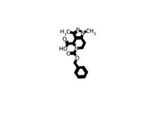 Cc1nn(C)c2c1C(C(=O)O)N(C(=O)OCc1ccccc1)CC2